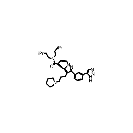 CC(C)CCN(CCC(C)C)C(=O)c1ccn2nc(-c3cccc(-c4cnn[nH]4)c3)c(CCCN3CCCCC3)c2c1